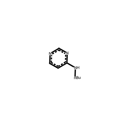 CCCCNc1ccn[c]n1